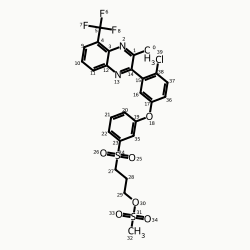 Cc1nc2c(C(F)(F)F)cccc2nc1-c1cc(Oc2cccc(S(=O)(=O)CCCOS(C)(=O)=O)c2)ccc1Cl